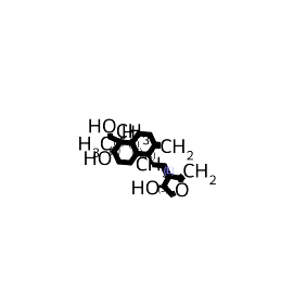 C=C1OC[C@@H](O)/C1=C\C[C@@H]1C(=C)CC[C@H]2[C@@]1(C)CC[C@@](C)(O)[C@@]2(C)CO